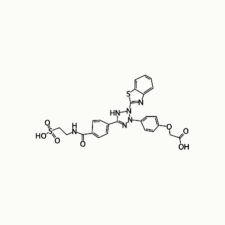 O=C(O)COc1ccc(N2N=C(c3ccc(C(=O)NCCS(=O)(=O)O)cc3)NN2c2nc3ccccc3s2)cc1